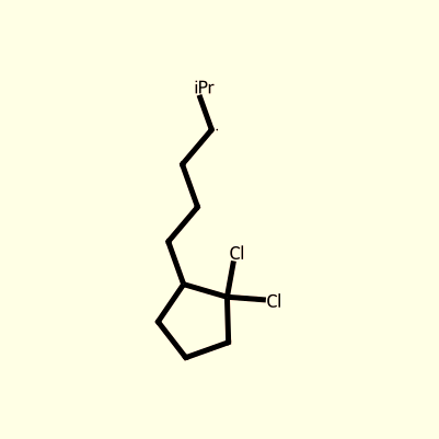 CC(C)[CH]CCCC1CCCC1(Cl)Cl